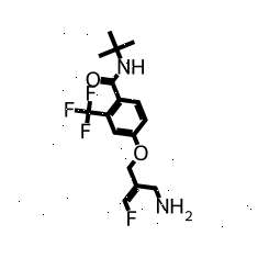 CC(C)(C)NC(=O)c1ccc(OC/C(=C/F)CN)cc1C(F)(F)F